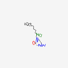 CCCCCCCCCCCCCCN1CCNCC1=O.Cl